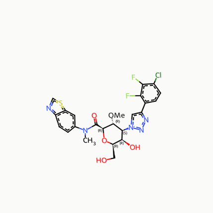 CO[C@@H]1[C@@H](n2cc(-c3ccc(Cl)c(F)c3F)nn2)[C@@H](O)[C@@H](CO)O[C@H]1C(=O)N(C)c1ccc2ncsc2c1